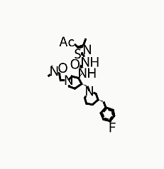 CC(=O)c1sc(NC(=O)N[C@H]2CN(CC(=O)N(C)C)CC[C@H]2CN2CCC[C@@H](Cc3ccc(F)cc3)C2)nc1C